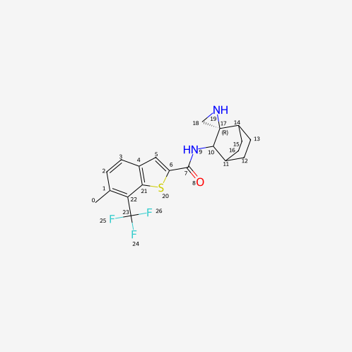 Cc1ccc2cc(C(=O)NC3C4CCC(CC4)[C@@]34CN4)sc2c1C(F)(F)F